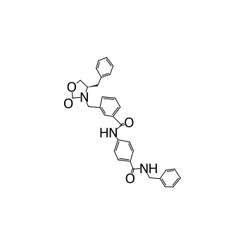 O=C(NCc1ccccc1)c1ccc(NC(=O)c2cccc(CN3C(=O)OC[C@H]3Cc3ccccc3)c2)cc1